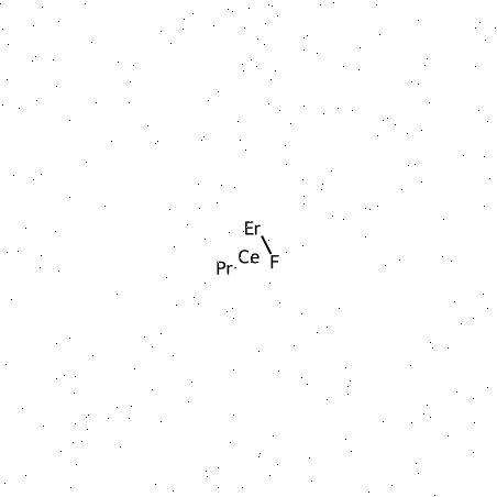 [Ce].[F][Er].[Pr]